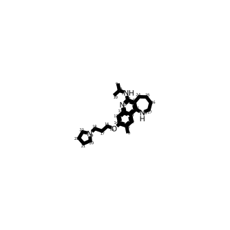 Cc1cc2c3c(c(NC(C)C)nc2cc1OCCCN1CCCC1)CCCCN3